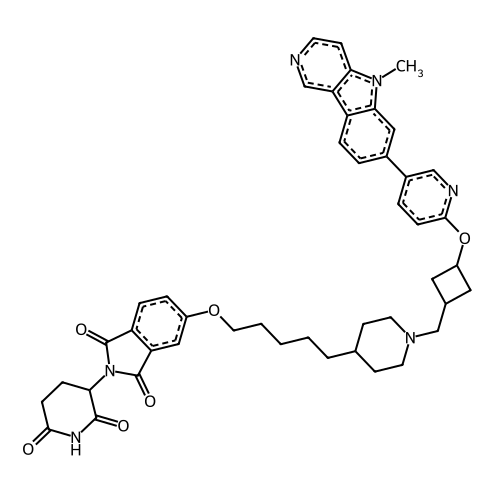 Cn1c2ccncc2c2ccc(-c3ccc(OC4CC(CN5CCC(CCCCCOc6ccc7c(c6)C(=O)N(C6CCC(=O)NC6=O)C7=O)CC5)C4)nc3)cc21